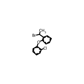 CC(Br)c1ccccc1Oc1ccccc1Cl